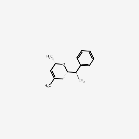 CC1=C[C@H](C)O[C@H]([C@@H](C)c2ccccc2)C1